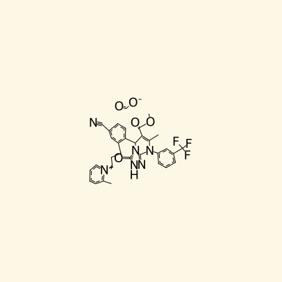 COC(=O)C1=C(C)N(c2cccc(C(F)(F)F)c2)c2n[nH]c(=O)n2C1c1ccc(C#N)cc1CCC[n+]1ccccc1C.O=C[O-]